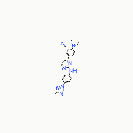 CCN(CC)c1ccc(-c2ccnc(Nc3ccc(-n4cnc(C)n4)cc3)n2)cc1C#N